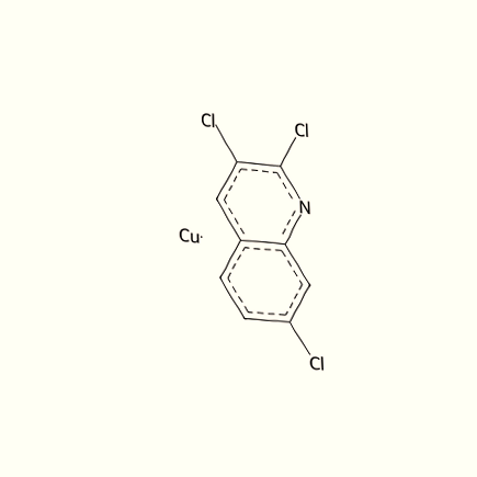 Clc1ccc2cc(Cl)c(Cl)nc2c1.[Cu]